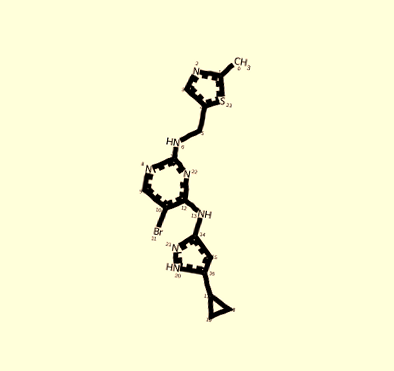 Cc1ncc(CNc2ncc(Br)c(Nc3cc(C4CC4)[nH]n3)n2)s1